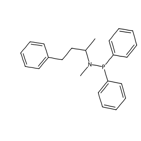 CC(CCc1ccccc1)N(C)P(c1ccccc1)c1ccccc1